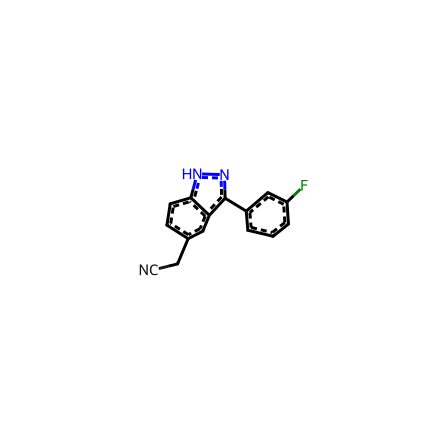 N#CCc1ccc2[nH]nc(-c3cccc(F)c3)c2c1